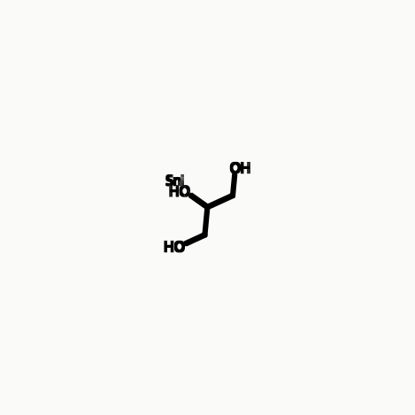 OCC(O)CO.[Sn]